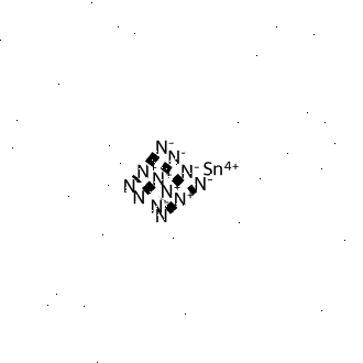 [N-]=[N+]=[N-].[N-]=[N+]=[N-].[N-]=[N+]=[N-].[N-]=[N+]=[N-].[Sn+4]